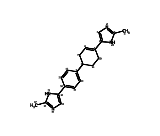 Cc1ncc(C2=CCC(c3ccc(-c4cnc(C)[nH]4)cc3)CC2)[nH]1